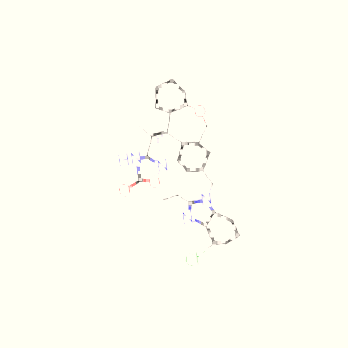 CCc1nc2c(Cl)cccc2n1Cc1ccc2c(c1)COc1ccccc1/C2=C(\C)c1noc(=O)[nH]1